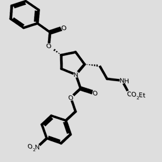 CCOC(=O)NCC[C@H]1C[C@@H](OC(=O)c2ccccc2)CN1C(=O)OCc1ccc([N+](=O)[O-])cc1